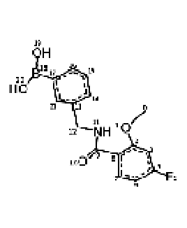 COc1cc(F)ccc1C(=O)NCc1cccc(B(O)O)c1